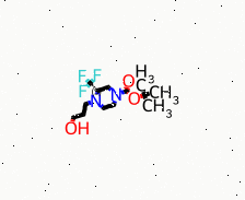 CC(C)(C)OC(=O)N1CCN(CCCO)[C@H](C(F)(F)F)C1